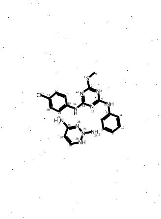 CSc1nc(Nc2ccccc2)nc(Nc2ccc(Cl)cc2)n1.NC1=NN(N)NC=C1